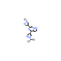 CCC(CC)n1cc(-c2nc(-c3cnn(CC)c3)cn3nccc23)cn1